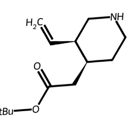 C=C[C@H]1CNCC[C@H]1CC(=O)OC(C)(C)C